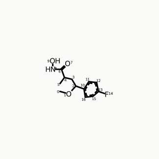 COC(CC(C)C(=O)NO)c1ccc(F)cc1